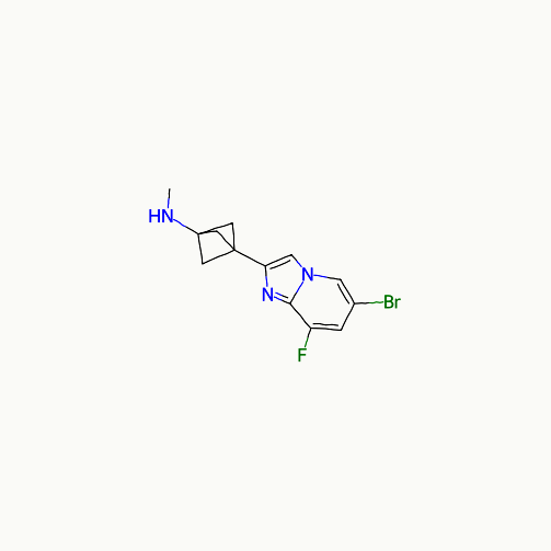 CNC12CC(c3cn4cc(Br)cc(F)c4n3)(C1)C2